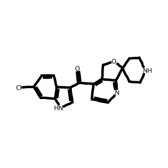 O=C(c1ccnc2c1COC21CCNCC1)c1c[nH]c2cc(Cl)ccc12